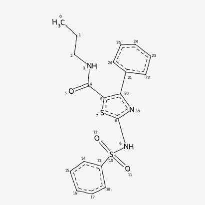 CCCNC(=O)c1sc(NS(=O)(=O)c2ccccc2)nc1-c1ccccc1